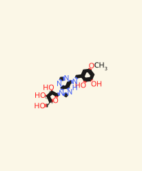 COc1cc(O)c(O)c(CNc2ncnc3c2ncn3C2O[C@H](CO)[C@@H](O)[C@H]2O)c1